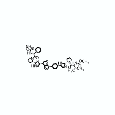 COC(=O)NC(C(=O)N1CC=C[C@H]1c1ncc(-c2ccc(-c3csc4c(-c5c[nH]c([C@@H]6CCCN6C(=O)[C@H](NC(=O)OC)c6ccccc6)n5)csc34)cc2)[nH]1)C(C)C